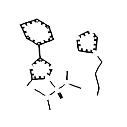 CCCCn1cnnc1.CN(C)P(=O)(N(C)C)n1nc(-c2ccccc2)nc1N